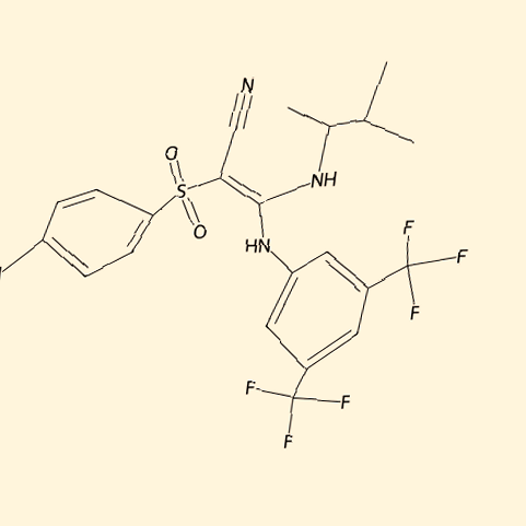 CC(C)C(C)NC(Nc1cc(C(F)(F)F)cc(C(F)(F)F)c1)=C(C#N)S(=O)(=O)c1ccc(Cl)cc1